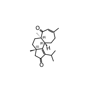 CC1=CC(=O)[C@]2(C)CC[C@@]3(C)CC(=O)C(C(C)C)=C3[C@H]2CC1